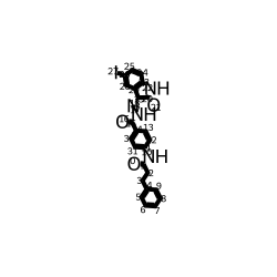 O=C(CCc1ccccc1)Nc1ccc(C(=O)N/N=C2\C(=O)Nc3ccc(I)cc32)cc1